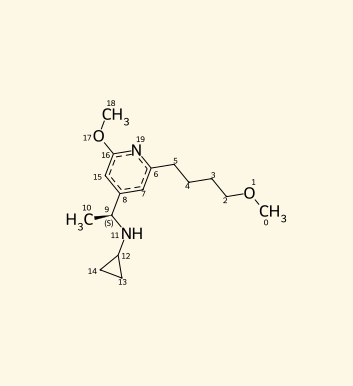 COCCCCc1cc([C@H](C)NC2CC2)cc(OC)n1